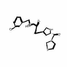 O=C(CC1CN[C@H](C(=O)N2CCSC2)C1)NCc1cccc(Cl)c1